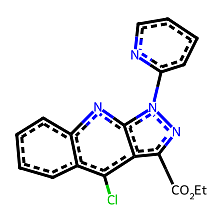 CCOC(=O)c1nn(-c2ccccn2)c2nc3ccccc3c(Cl)c12